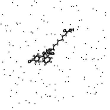 O=C(O)CCCCCCCNS(=O)(=O)c1ccccc1C(=O)c1ccc(Cl)cc1